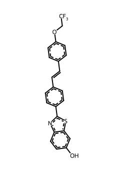 Oc1ccc2nc(-c3ccc(C=Cc4ccc(OCC(F)(F)F)cc4)cc3)sc2c1